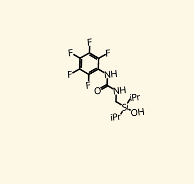 CC(C)[Si](O)(CNC(=O)Nc1c(F)c(F)c(F)c(F)c1F)C(C)C